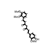 COc1cc(C=CC(=O)CC(=O)C=Cc2cccc(OC)c2OC)ccc1O